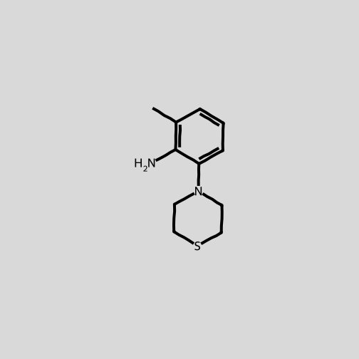 Cc1cccc(N2CCSCC2)c1N